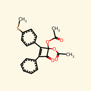 CSc1ccc(C2=C(c3ccccc3)C(=O)C2(OC(C)=O)OC(C)=O)cc1